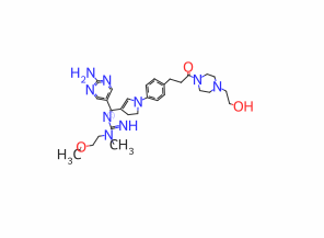 COCCN(C)C(=N)/N=C(\C1=CN(c2ccc(CCC(=O)N3CCN(CCO)CC3)cc2)CC1)c1cnc(N)nc1